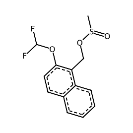 CS(=O)OCc1c(OC(F)F)ccc2ccccc12